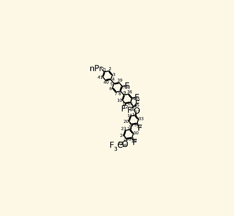 CCCc1ccc(-c2ccc(-c3cc(F)c(C(F)(F)Oc4ccc(-c5ccc(OC(F)(F)F)c(F)c5)c(F)c4)c(F)c3)c(F)c2)cc1